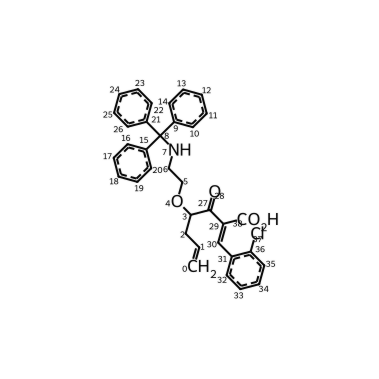 C=CCC(OCCNC(c1ccccc1)(c1ccccc1)c1ccccc1)C(=O)C(=Cc1ccccc1Cl)C(=O)O